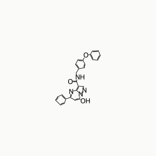 O=C(NCc1ccc(Oc2ccccc2)cc1)c1cnn2c(O)cc(-c3ccccc3)nc12